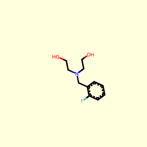 OCCN(CCO)Cc1ccccc1F